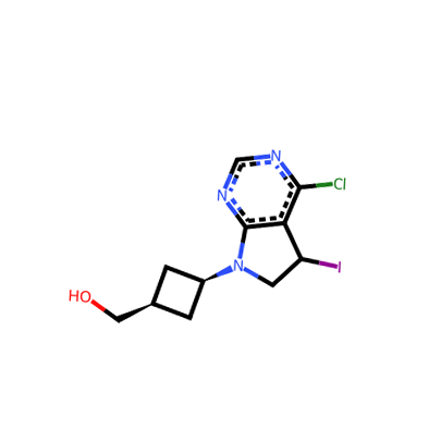 OC[C@H]1C[C@@H](N2CC(I)c3c(Cl)ncnc32)C1